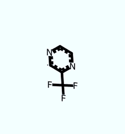 FC(F)(F)c1[c]nccn1